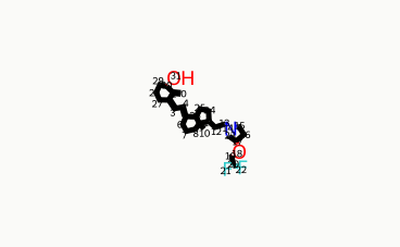 C=C1/C(=C\C=C2/CCCC3(C)C(CCN4CCC(OCC(F)F)C4)CCC23)CCCC1O